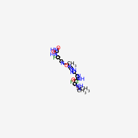 CCN(C)SNc1ccc(F)c(C(=O)c2c[nH]c3ncc(-c4cnc(N5CCN(C(C)OCCN6CCC(c7ccc(NC8CCC(=O)NC8=O)c(F)c7)CC6)CC5)nc4)cc23)c1F